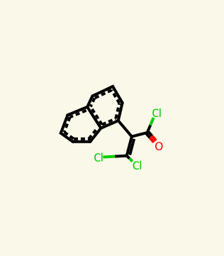 O=C(Cl)C(=C(Cl)Cl)c1cccc2ccccc12